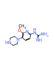 COc1nc(NC(=N)N)ccc1N1CCNCC1